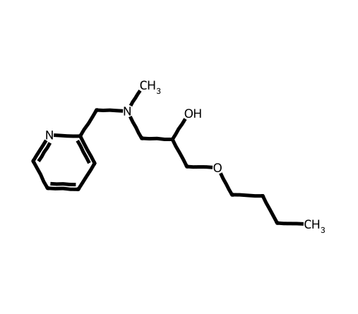 CCCCOCC(O)CN(C)Cc1ccccn1